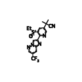 CC[S+]([O-])c1cc(C(C)(C)C#N)cnc1-c1cn2ncc(C(F)(F)F)cc2n1